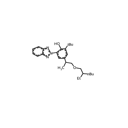 CCCCC(CC)COCC(C)c1cc(-n2nc3ccccc3n2)c(O)c(C(C)(C)C)c1